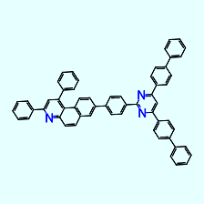 c1ccc(-c2ccc(-c3cc(-c4ccc(-c5ccccc5)cc4)nc(-c4ccc(-c5ccc6c(ccc7nc(-c8ccccc8)cc(-c8ccccc8)c76)c5)cc4)n3)cc2)cc1